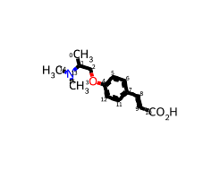 CC(COc1ccc(C=CC(=O)O)cc1)N(C)C